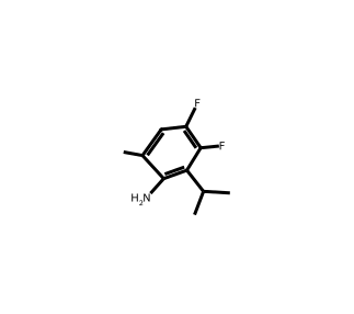 Cc1cc(F)c(F)c(C(C)C)c1N